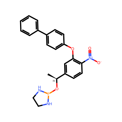 C[C@H](OP1NCCN1)c1ccc([N+](=O)[O-])c(Oc2ccc(-c3ccccc3)cc2)c1